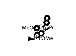 COc1cccc([C@@]23CCN(CC4CC4)C[C@H]2C(OC)C[C@H](N(CC(C)C)C(=O)c2ccc4ccccc4c2)C3)c1